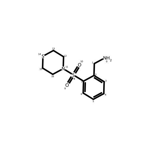 NCc1ccccc1S(=O)(=O)N1CCSCC1